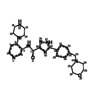 O=C(Nc1cnccc1N1CCNCC1)c1n[nH]c(-c2ccc(CN3CCOCC3)cc2)n1